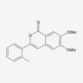 COc1cc2cc(-c3ccccc3C)oc(=O)c2cc1OC